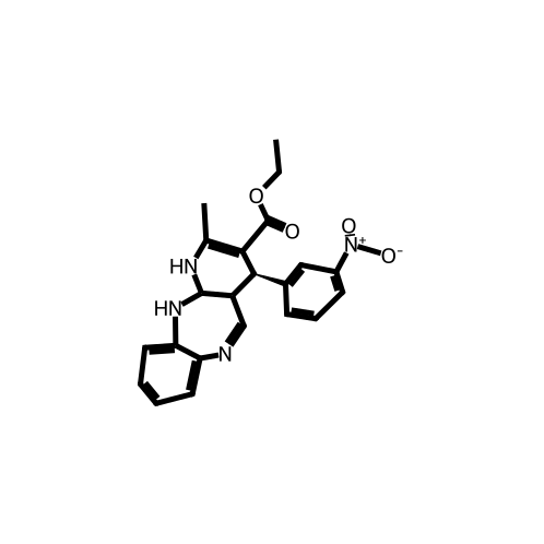 CCOC(=O)C1=C(C)NC2Nc3ccccc3N=CC2[C@@H]1c1cccc([N+](=O)[O-])c1